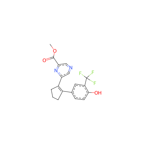 COC(=O)c1cncc(C2=C(c3ccc(O)c(C(F)(F)F)c3)CCC2)n1